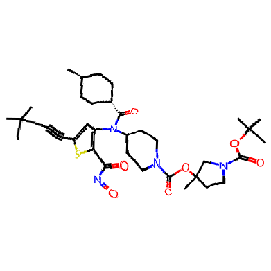 CC(C)(C)C#Cc1cc(N(C(=O)[C@H]2CC[C@H](C)CC2)C2CCN(C(=O)OC3(C)CCN(C(=O)OC(C)(C)C)C3)CC2)c(C(=O)N=O)s1